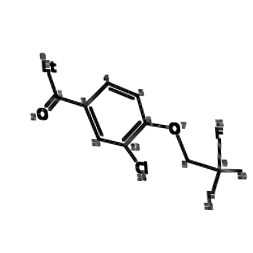 CCC(=O)c1ccc(OCC(C)(F)F)c(Cl)c1